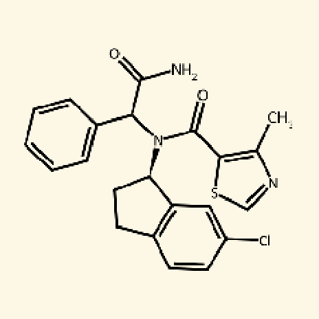 Cc1ncsc1C(=O)N(C(C(N)=O)c1ccccc1)[C@@H]1CCc2ccc(Cl)cc21